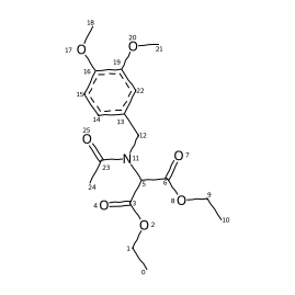 CCOC(=O)C(C(=O)OCC)N(Cc1ccc(OC)c(OC)c1)C(C)=O